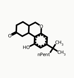 CCCCCC(C)(C)c1cc(O)c2c(c1)OCC1CCC(=O)CC21